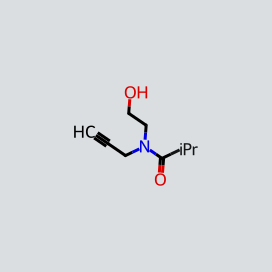 C#CCN(CCO)C(=O)C(C)C